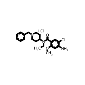 CCN(C(=O)c1cc(Cl)c(N)cc1OC)C1CCN(Cc2ccccc2)CC1.Cl